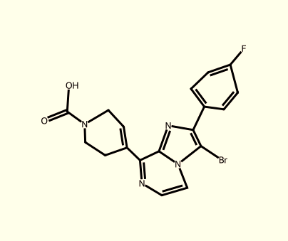 O=C(O)N1CC=C(c2nccn3c(Br)c(-c4ccc(F)cc4)nc23)CC1